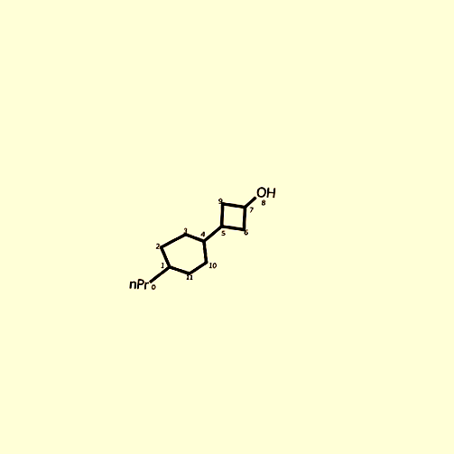 CCCC1CCC(C2CC(O)C2)CC1